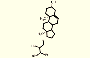 CCC[C@H](C(C)C)[C@@H](O)CC[C@H]1CCC2C3CC=C4C[C@@H](O)CC[C@]4(C)C3CC[C@@]21C